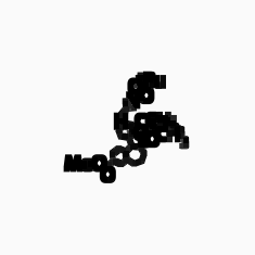 COC(=O)c1ccc2c(c1)CCCC(B1OC(C)(C)C(C)(C)O1)=C2c1ccc(C=C2CN(C(=O)OC(C)(C)C)C2)cc1